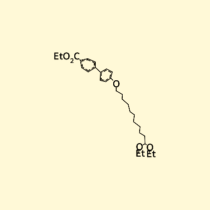 CCOC(=O)c1ccc(-c2ccc(OCCCCCCCCCCC(OCC)OCC)cc2)cc1